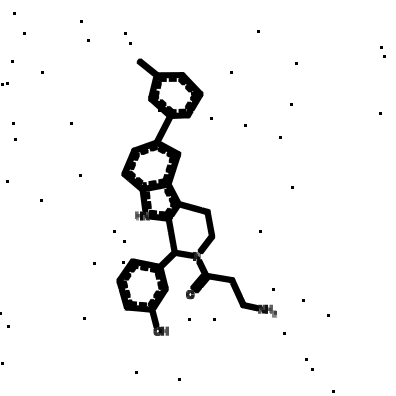 Cc1cccc(-c2ccc3[nH]c4c(c3c2)CCN(C(=O)CCN)C4c2cccc(O)c2)c1